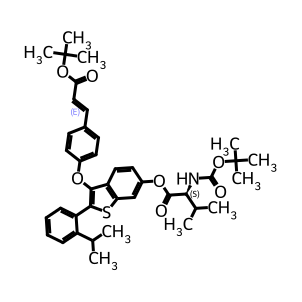 CC(C)c1ccccc1-c1sc2cc(OC(=O)[C@@H](NC(=O)OC(C)(C)C)C(C)C)ccc2c1Oc1ccc(/C=C/C(=O)OC(C)(C)C)cc1